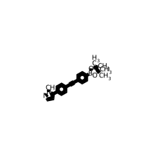 Cn1nccc1-c1ccc(C#Cc2ccc(B3OC(C)(C)C(C)(C)O3)cc2)cc1